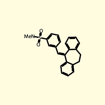 CNS(=O)(=O)c1cccc(C=C2c3ccccc3CCc3ccccc32)c1